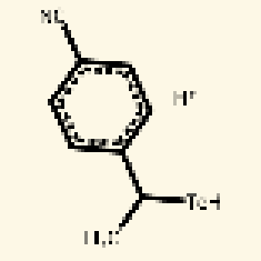 CC([TeH])c1ccc(C#N)cc1.[H+]